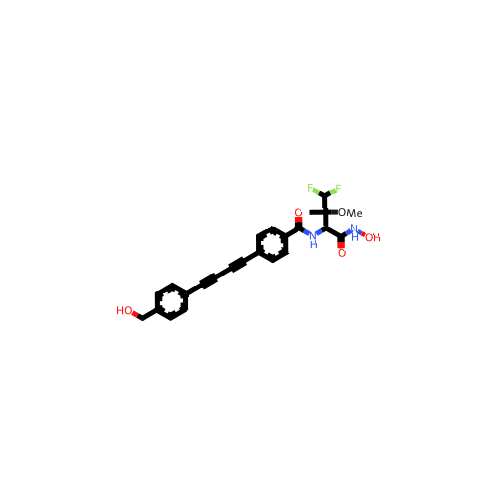 COC(C)(C(F)F)C(NC(=O)c1ccc(C#CC#Cc2ccc(CO)cc2)cc1)C(=O)NO